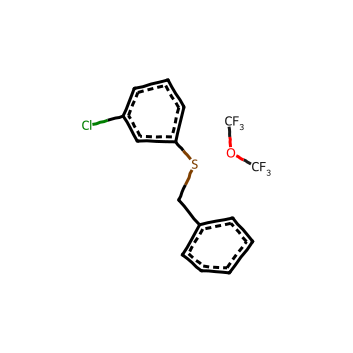 Clc1cccc(SCc2ccccc2)c1.FC(F)(F)OC(F)(F)F